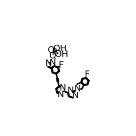 O=P(O)(O)OCn1ncc2cc(C#Cc3ccnc(-c4ccnc(N5Cc6ccc(F)cc6C5)n4)n3)cc(F)c21